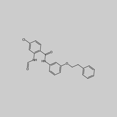 O=CNc1cc(Cl)ccc1C(=O)Nc1cccc(OCCc2ccccc2)c1